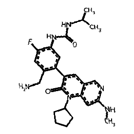 CNc1cc2c(cn1)cc(-c1cc(NC(=O)NC(C)C)c(F)cc1CN)c(=O)n2C1CCCC1